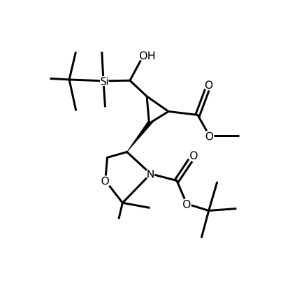 COC(=O)C1C(C(O)[Si](C)(C)C(C)(C)C)C1[C@@H]1COC(C)(C)N1C(=O)OC(C)(C)C